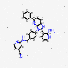 N#Cc1ccnc(NCc2ccc(-n3c(-c4cccnc4N)nc4ccc(-c5ccccc5)nc43)cc2)c1